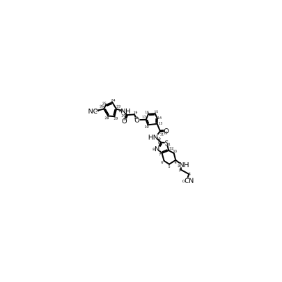 N#CCCNC1CCc2nc(NC(=O)c3cccc(OCC(=O)Nc4ccc(C#N)cc4)c3)sc2C1